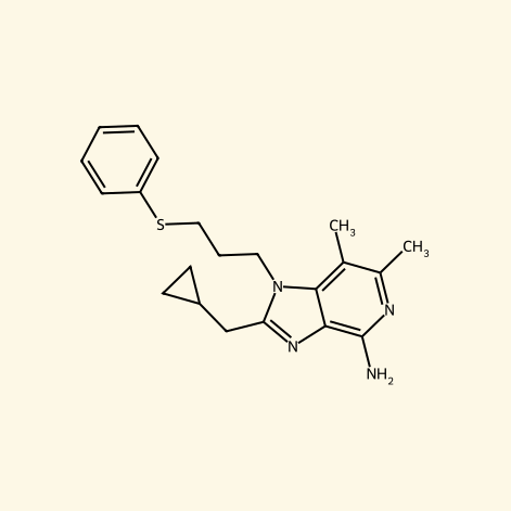 Cc1nc(N)c2nc(CC3CC3)n(CCCSc3ccccc3)c2c1C